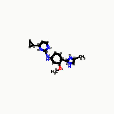 COc1cc(Nc2nccc(C3CC3)n2)ccc1-c1nc(C)c[nH]1